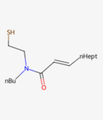 CCCCCCCC=CC(=O)N(CCS)CCCC